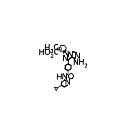 C[C@]1(C(=O)O)CCC[C@@H](c2nc(-c3ccc(C(=O)Nc4cc(C5CC5)ccn4)cc3)c3c(N)nccn23)C1